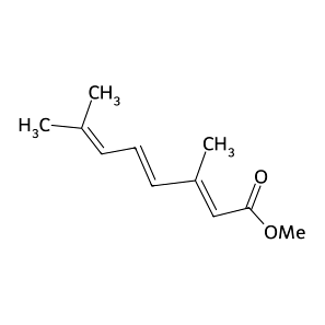 COC(=O)/C=C(C)/C=C/C=C(C)C